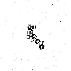 O=c1c(Cl)c(NCc2ccn[nH]2)cnn1C1CCN(c2ccccc2F)CC1